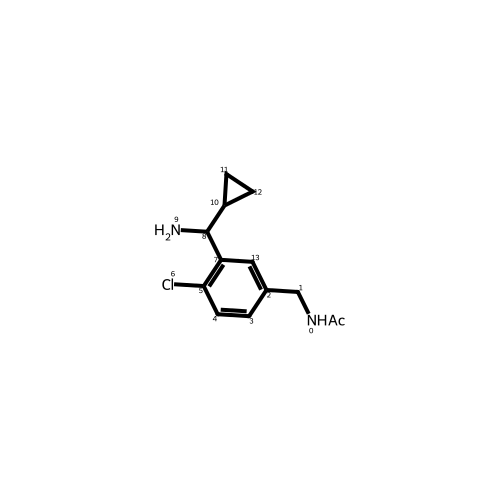 CC(=O)NCc1ccc(Cl)c(C(N)C2CC2)c1